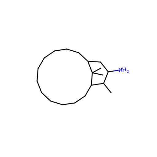 CC1C(N)CC2CCCCCCCCCCCC1C2(C)C